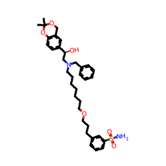 CC1(C)OCc2cc([C@@H](O)CN(CCCCCCCOCCCc3cccc(S(N)(=O)=O)c3)Cc3ccccc3)ccc2O1